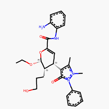 CCO[C@@H]1OC(C(=O)Nc2ccccc2N)=C[C@H](c2c(C)n(C)n(-c3ccccc3)c2=O)[C@@H]1CCCO